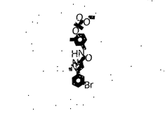 CCOC(=O)C(C)(C)Oc1ccc(CNC(=O)c2cc(-c3cccc(Br)c3)n(C)n2)cc1C